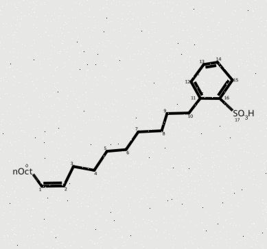 CCCCCCCC/C=C\CCCCCCCCc1ccccc1S(=O)(=O)O